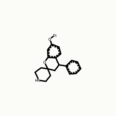 CCOc1ccc2c(c1)OC1(CCNCC1)CC2c1ccccc1